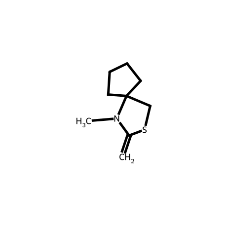 C=C1SCC2(CCCC2)N1C